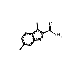 Cc1ccc2c(C)c(C(N)=O)oc2c1